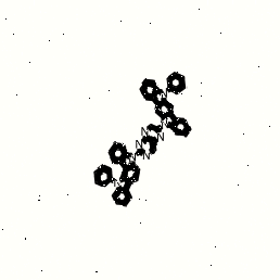 c1ccc(-n2c3ccccc3c3cc4c(cc32)c2ccccc2n4-c2cnc3nc(-n4c5ccccc5c5c4ccc4c6ccccc6n(-c6ccccc6)c45)ncc3n2)cc1